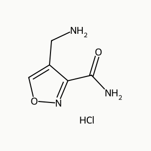 Cl.NCc1conc1C(N)=O